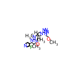 CCOCCn1nnnc1N1C[C@@H]2[C@H](C1)[C@H]2N(C)C1=NC(c2ccncc2F)C(C)C(=O)N1C